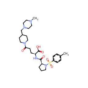 Cc1ccc(S(=O)(=O)N2CCC[C@H]2C(=O)N[C@@H](CCC(=O)N2CCC(CN3CCN(C)CC3)CC2)C(=O)O)cc1